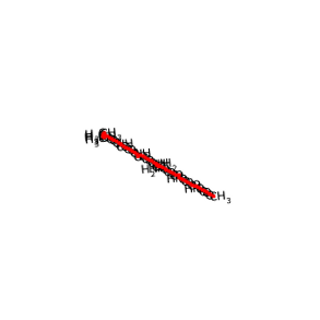 CCCOCCOCCOCCOCCNC(=O)CCOCCOCCOCCOCCNC(=O)CCOCCOCCOCCOCCNC(=O)[C@H](N)[C@@H](N)C(=O)NCCOCCOCCOCCOCCC(=O)NCCOCCOCCOCCOCCC(=O)NCCOCCOCCOCCOCCC(C(C)(C)C)C(C)(C)C